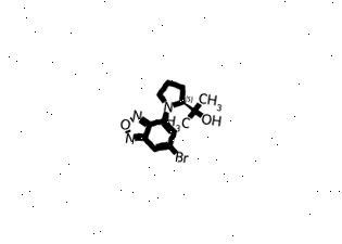 CC(C)(O)[C@@H]1CCCN1c1cc(Br)cc2nonc12